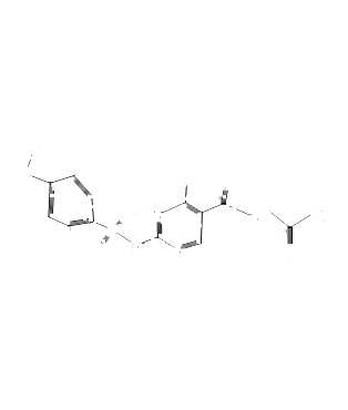 COc1ccc(S(=O)(=O)Nc2ncc(C(=O)NCC(=O)O)c(O)n2)cc1